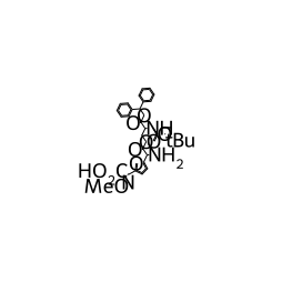 CO/N=C(\C(=O)O)c1ccc(C(N)C(=O)OCC(NC(=O)OC(C)(C)C)C(=O)OC(c2ccccc2)c2ccccc2)o1